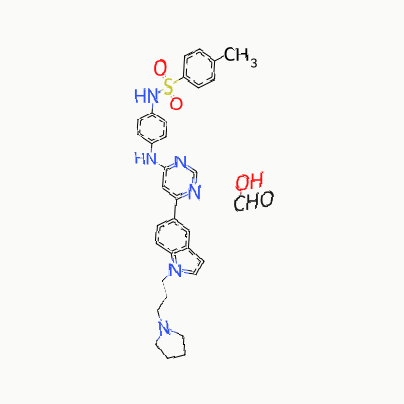 Cc1ccc(S(=O)(=O)Nc2ccc(Nc3cc(-c4ccc5c(ccn5CCCN5CCCC5)c4)ncn3)cc2)cc1.O=CO